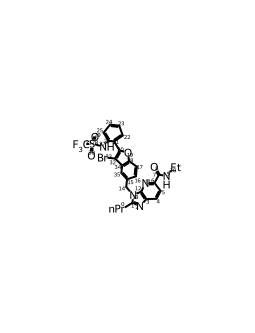 CCCc1nc2ccc(C(=O)NCC)nc2n1Cc1ccc2oc(-c3ccccc3NS(=O)(=O)C(F)(F)F)c(Br)c2c1